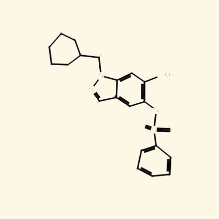 COc1cc2c(cnn2CC2CCCCC2)cc1NS(=O)(=O)c1ccccc1